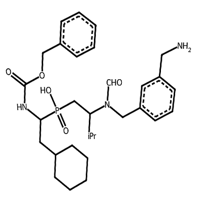 CC(C)C(CP(=O)(O)C(CC1CCCCC1)NC(=O)OCc1ccccc1)N(C=O)Cc1cccc(CN)c1